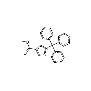 COC(=O)c1cnn(C(c2ccccc2)(c2ccccc2)c2ccccc2)c1